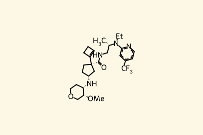 CCN(c1cc(C(F)(F)F)ccn1)[C@@H](C)CNC(=O)[C@@]1(C2=CCC2)CC[C@@H](N[C@H]2CCOC[C@H]2OC)C1